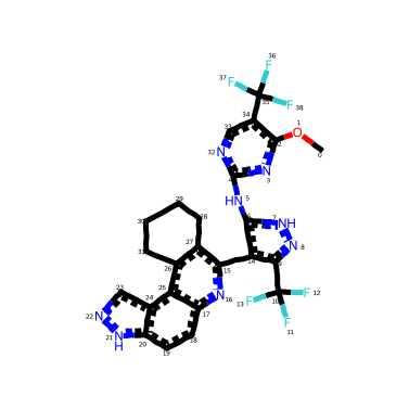 COc1nc(Nc2[nH]nc(C(F)(F)F)c2-c2nc3ccc4[nH]ncc4c3c3c2CCCC3)ncc1C(F)(F)F